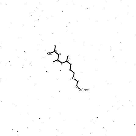 CCCCCOCOCCCC(C)CC(C)CC(C)Cl